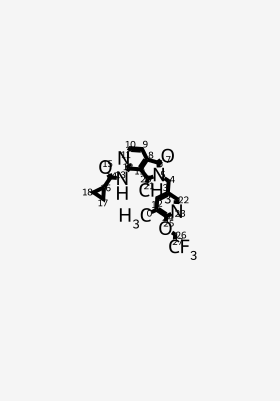 Cc1cc(CN2C(=O)c3ccnc(NC(=O)C4CC4)c3C2C)cnc1OCC(F)(F)F